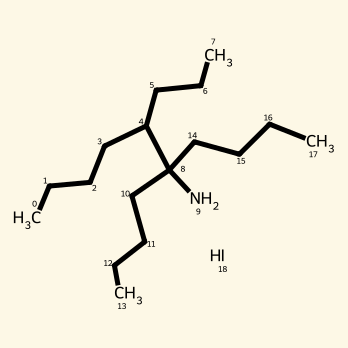 CCCCC(CCC)C(N)(CCCC)CCCC.I